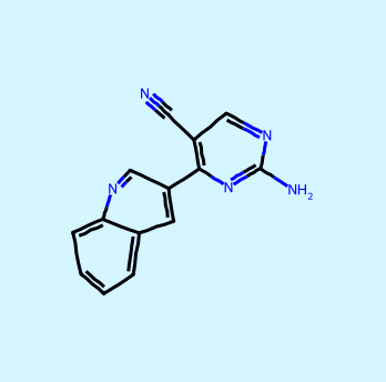 N#Cc1cnc(N)nc1-c1cnc2ccccc2c1